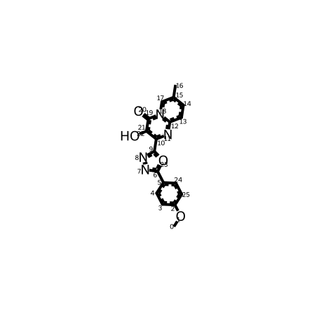 COc1ccc(-c2nnc(-c3nc4ccc(C)cn4c(=O)c3O)o2)cc1